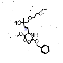 CCOCCOCC(C)(O)/C=C/C(NC(=O)OCc1ccccc1)C(=O)OC